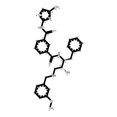 COc1cccc(CNC[C@@H](O)[C@H](Cc2ccccc2)NC(=O)c2cccc(C(=O)Nc3nc(C)cs3)c2)c1